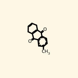 Cc1ccc2c(c1)C(=O)C1=C(CC=CC1)C2=O